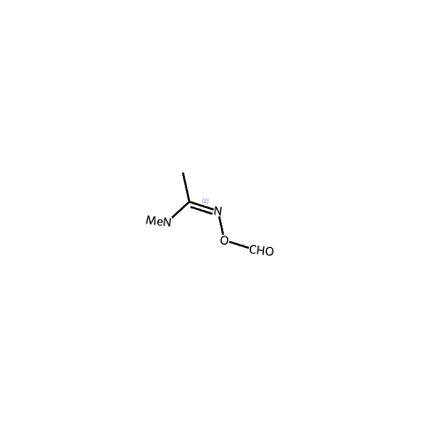 CN/C(C)=N\OC=O